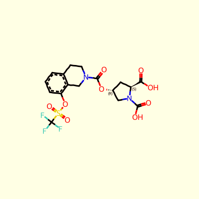 O=C(O)[C@@H]1C[C@@H](OC(=O)N2CCc3cccc(OS(=O)(=O)C(F)(F)F)c3C2)CN1C(=O)O